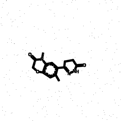 Cc1cc2c(cc1C1=NNC(=O)CC1)N(C)C(=O)CO2